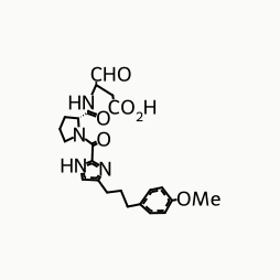 COc1ccc(CCCc2c[nH]c(C(=O)N3CCC[C@@H]3C(=O)N[C@H](C=O)CC(=O)O)n2)cc1